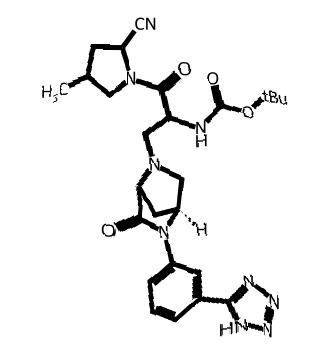 CC1CC(C#N)N(C(=O)C(CN2C[C@@H]3CC2C(=O)N3c2cccc(-c3nnn[nH]3)c2)NC(=O)OC(C)(C)C)C1